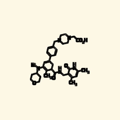 CCN(C1=C(C)C(C(=O)NCc2c(C)cc(C)[nH]c2=O)CC(c2ccc(CN3CCN(CC(=O)O)CC3)cc2)=C1)C1CCOCC1